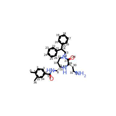 Cc1ccc(C(=O)NC[C@@H]2CCN(CC(c3ccccc3)c3ccccc3)C(=O)[C@H](CCN)N2)cc1C